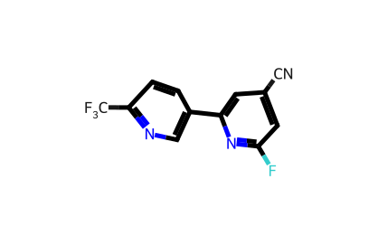 N#Cc1cc(F)nc(-c2ccc(C(F)(F)F)nc2)c1